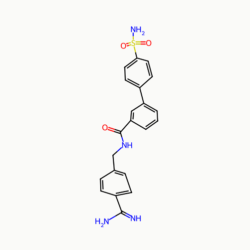 N=C(N)c1ccc(CNC(=O)c2cccc(-c3ccc(S(N)(=O)=O)cc3)c2)cc1